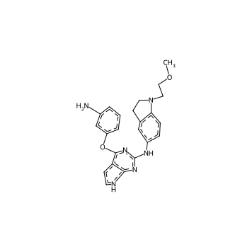 COCCN1CCc2cc(Nc3nc(Oc4cccc(N)c4)c4cc[nH]c4n3)ccc21